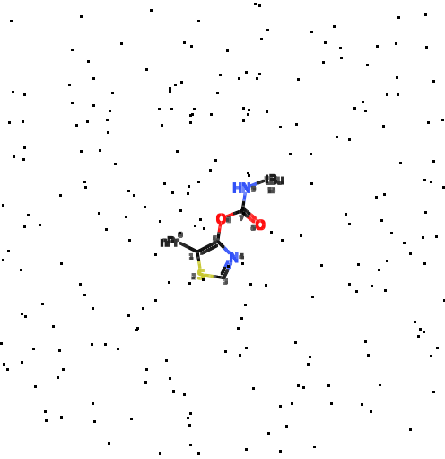 CCCc1scnc1OC(=O)NC(C)(C)C